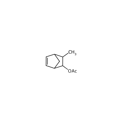 CC(=O)OC1C2C=CC(C2)C1C